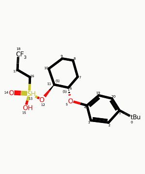 CC(C)(C)c1ccc(O[C@H]2CCCC[C@@H]2O[SH](=O)(O)CCC(F)(F)F)cc1